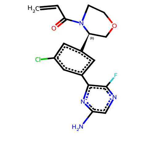 C=CC(=O)N1CCOC[C@H]1c1cc(Cl)cc(-c2nc(N)cnc2F)c1